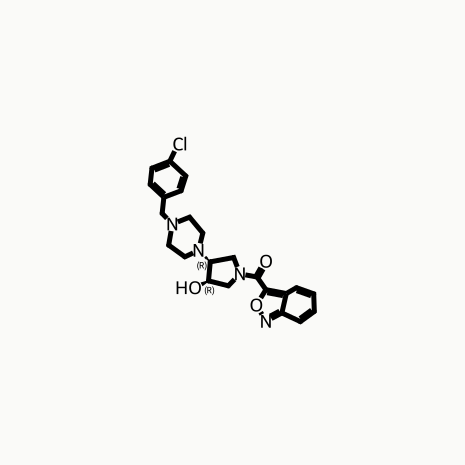 O=C(c1onc2ccccc12)N1C[C@@H](O)[C@H](N2CCN(Cc3ccc(Cl)cc3)CC2)C1